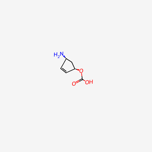 N[C@@H]1C=C[C@H](OC(=O)O)C1